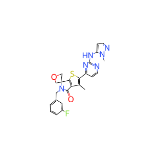 Cc1c(-c2ccnc(Nc3ccnn3C)n2)sc2c1C(=O)N(Cc1cccc(F)c1)C21COC1